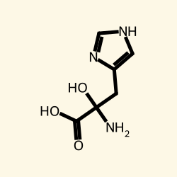 NC(O)(Cc1c[nH]cn1)C(=O)O